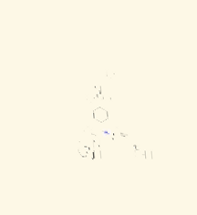 COCCN(C)S(=O)(=O)c1ccc(/C(=N\O[C@@H]2CC[C@@H](O)C2)C(=O)Nc2ncc(C)s2)cc1